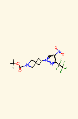 CC(C)(C)OC(=O)N1CC2(CC(n3cc([N+](=O)[O-])c(C(F)(F)C(F)(F)F)n3)C2)C1